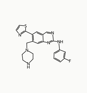 Fc1cccc(Nc2ncc3cc(-c4nccs4)c(CN4CCNCC4)cc3n2)c1